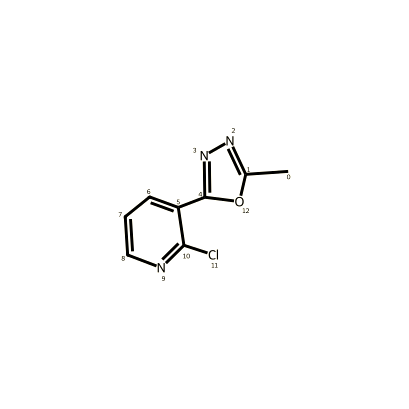 Cc1nnc(-c2cccnc2Cl)o1